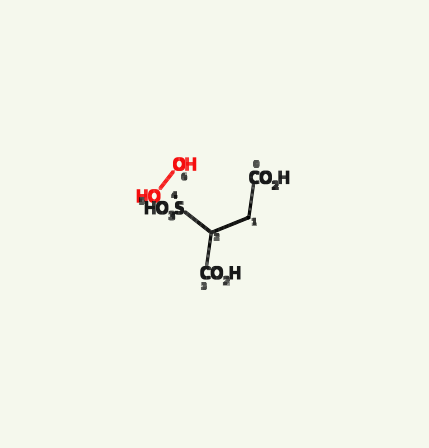 O=C(O)CC(C(=O)O)S(=O)(=O)O.OO